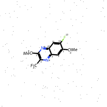 COc1cc2nc(C(F)(F)F)c(OC)nc2cc1F